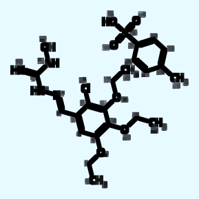 CCOc1cc(C=NNC(=N)NO)c(Cl)c(OCC)c1OCC.Cc1ccc(S(=O)(=O)O)cc1